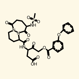 CS(=O)(=O)NC1CCC(=O)N2CCCC(C(=O)NC(CC(=O)O)C(=O)COC(=O)c3cccc(Oc4ccccc4)c3)N2C1=O